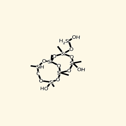 C[SiH]1CO[Si](C)(O)O[Si]2(C)O[Si](C)(O)O[Si](C)(O[SiH2]O)O[Si](C)(O1)O2